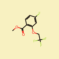 COC(=O)c1ccc(F)cc1OCC(F)(F)F